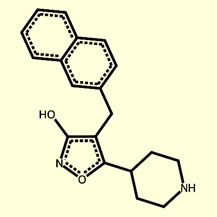 Oc1noc(C2CCNCC2)c1Cc1ccc2ccccc2c1